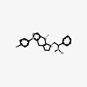 CC(=O)N(C)C(C[C@H]1CCC2=C1[C@@H](C)c1cnn(-c3ccc(F)cc3)c1C2)c1ccccc1